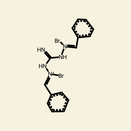 N=C(N[N+](Br)=Cc1ccccc1)N[N+](Br)=Cc1ccccc1